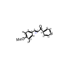 COc1c(C)cc(/C=C/C(=O)c2ccncc2)cc1C